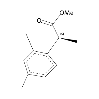 COC(=O)[C@@H](C)c1ccc(C)cc1C